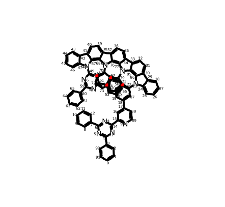 c1ccc(-c2nc(-c3ccccc3)nc(-c3cc(-c4cccc(-n5c6ccccc6c6ccc7c8ccc9c%10ccc%11c%12ccccc%12n(-c%12nc(-c%13ccccc%13)nc(-c%13ccccc%13)n%12)c%11c%10n(-c%10ccccc%10)c9c8n(-c8ccccc8)c7c65)c4)ccn3)n2)cc1